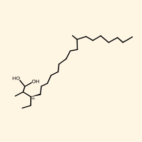 CCCCCCCC(C)CCCCCCCCC[C@@H](CC)C(C)C(O)O